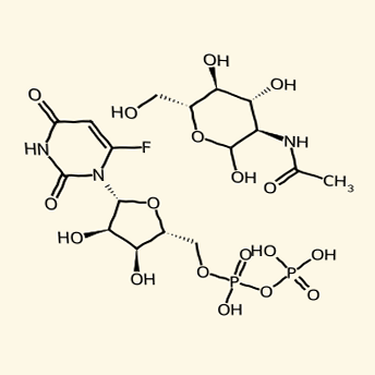 CC(=O)N[C@H]1C(O)O[C@H](CO)[C@@H](O)[C@@H]1O.O=c1cc(F)n([C@@H]2O[C@H](COP(=O)(O)OP(=O)(O)O)[C@@H](O)[C@H]2O)c(=O)[nH]1